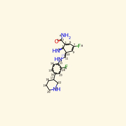 N=C1C(C(N)=O)=CC(F)=C/C1=C/Nc1ccc(C2CCCNC2)cc1F